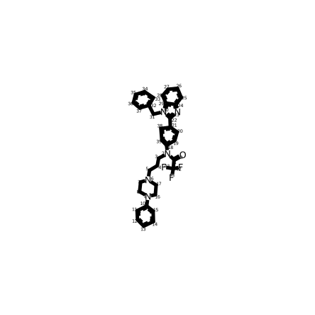 O=C(N(CCCN1CCN(c2ccccc2)CC1)c1ccc(-c2nc3ccccc3n2Cc2ccccc2)cc1)C(F)(F)F